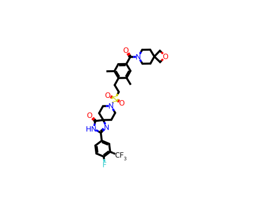 Cc1cc(C(=O)N2CCC3(CC2)COC3)cc(C)c1CCS(=O)(=O)N1CCC2(CC1)N=C(c1ccc(F)c(C(F)(F)F)c1)NC2=O